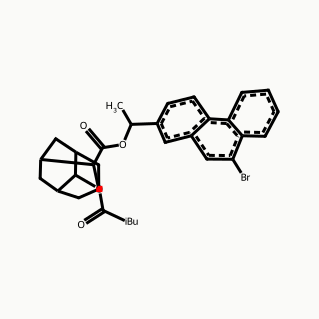 CCC(C)C(=O)OC1C2CC3CC1CC(C2)C3C(=O)OC(C)c1ccc2c(c1)cc(Br)c1ccccc12